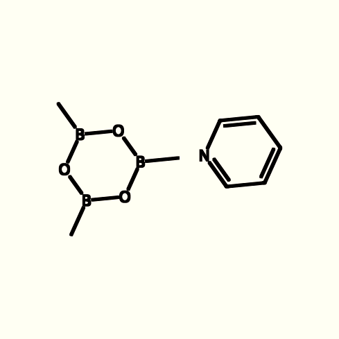 CB1OB(C)OB(C)O1.c1ccncc1